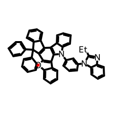 CCc1nc2ccccc2n1-c1cccc(-n2c3ccccc3c3c4c(c5oc6ccccc6c5c32)C(c2ccccc2)(c2ccccc2)c2ccccc2-4)c1